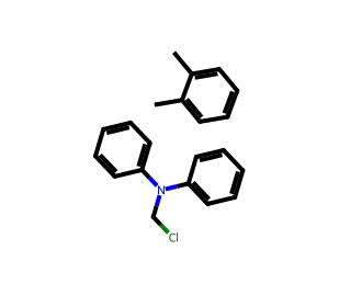 Cc1ccccc1C.ClCN(c1ccccc1)c1ccccc1